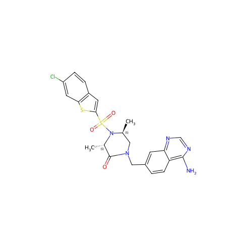 C[C@H]1CN(Cc2ccc3c(N)ncnc3c2)C(=O)[C@H](C)N1S(=O)(=O)c1cc2ccc(Cl)cc2s1